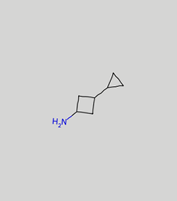 NC1CC(C2CC2)C1